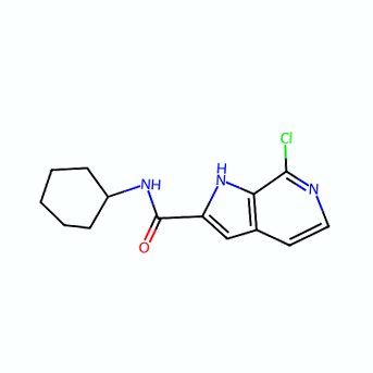 O=C(NC1CCCCC1)c1cc2ccnc(Cl)c2[nH]1